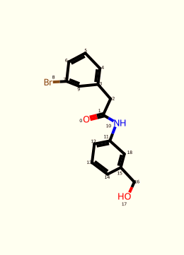 O=C(Cc1cccc(Br)c1)Nc1cccc(CO)c1